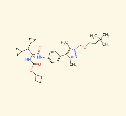 Cc1nn(COCC[Si](C)(C)C)c(C)c1-c1ccc(NC(=O)[C@@H](NC(=O)OC2CCC2)C(C2CC2)C2CC2)cc1